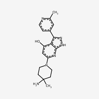 Cc1cc(-c2n[nH]c3nc(N4CCC(C)(N)CC4)cc(O)c23)ccn1